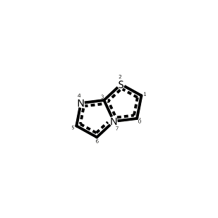 [c]1csc2nccn12